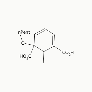 CCCCCOC1(C(=O)O)C=CC=C(C(=O)O)C1C